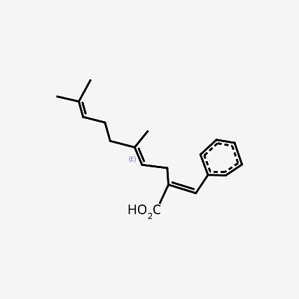 CC(C)=CCC/C(C)=C/CC(=Cc1ccccc1)C(=O)O